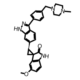 COc1ccc2c(c1)C1(C[C@H]1c1ccc3c(-c4ccc(CN5CCN(C)CC5)cc4)n[nH]c3c1)C(=O)N2